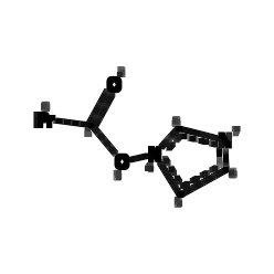 CC(C)C(=O)On1ccnc1